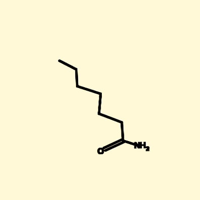 CCCCCCC(N)=O